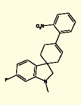 CN1CC2(CC=C(c3ccccc3[N+](=O)[O-])CC2)c2ccc(F)cc21